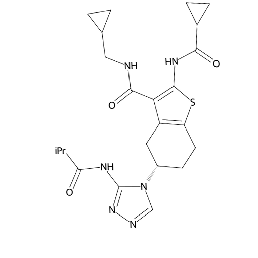 CC(C)C(=O)Nc1nncn1[C@H]1CCc2sc(NC(=O)C3CC3)c(C(=O)NCC3CC3)c2C1